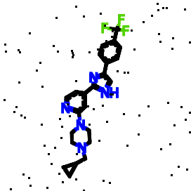 FC(F)(F)c1ccc(-c2c[nH]c(-c3ccnc(N4CCN(CC5CC5)CC4)c3)n2)cc1